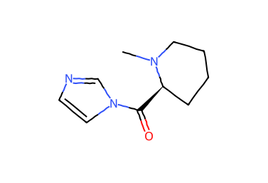 CN1CCCC[C@H]1C(=O)n1ccnc1